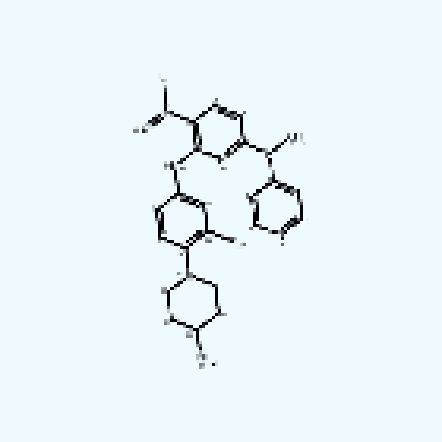 CN(c1ccncc1)c1ccc([N+](=O)[O-])c(Nc2ccc(N3CCC(N)CC3)c(F)c2)n1